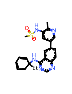 CCC1(Nc2ncnc3ccc(-c4cnc(C)c(NS(C)(=O)=O)c4)cc23)C=CC=CC1